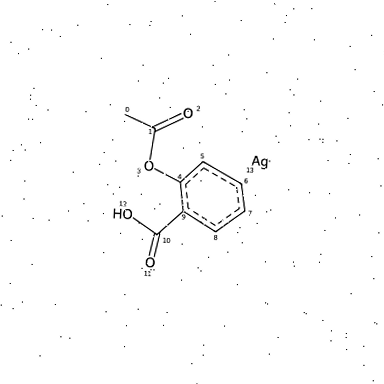 CC(=O)Oc1ccccc1C(=O)O.[Ag]